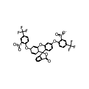 O=C1OC2(c3ccc(Oc4ccc(C(F)(F)F)cc4[N+](=O)[O-])cc3OC3=CC(Oc4ccc(C(F)(F)F)cc4[N+](=O)[O-])C=CC32)c2ccccc21